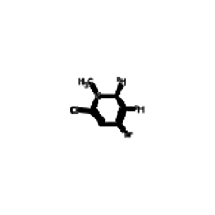 [2H]C1=C(Br)C=C(Cl)N(C)C1[2H]